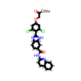 COC(=O)COc1cc(Cl)c(-c2nc3ccc(C(=O)Nc4ccc5ccccc5n4)cc3[nH]2)c(Cl)c1